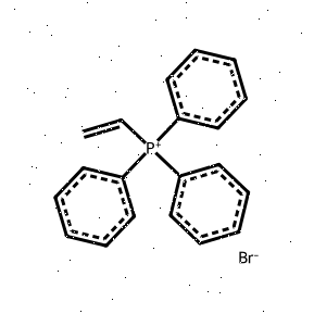 C=C[P+](c1ccccc1)(c1ccccc1)c1ccccc1.[Br-]